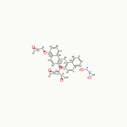 c1cc(OCC2CO2)c2ccc(OCC3CO3)c(Cc3c(OCC4CO4)ccc4c(OCC5CO5)cccc34)c2c1